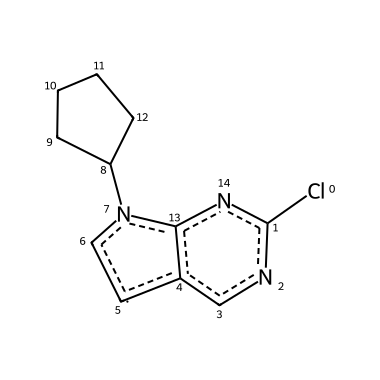 Clc1ncc2[c]cn(C3CCCC3)c2n1